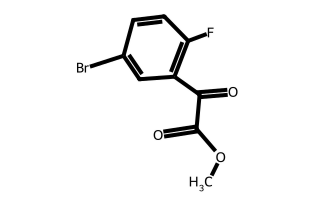 COC(=O)C(=O)c1cc(Br)ccc1F